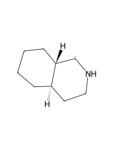 [CH]1NCC[C@H]2CCCC[C@H]12